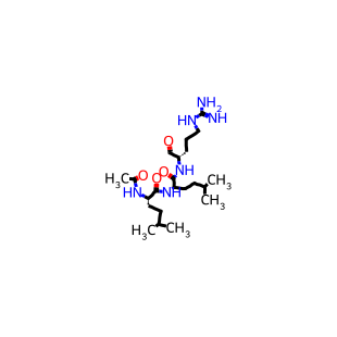 CC(=O)N[C@@H](CCC(C)C)C(=O)NC(CCC(C)C)C(=O)N[C@H](C=O)CCCNC(=N)N